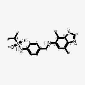 Cc1cc(NCc2ccc(NS(=O)(=O)C(C)C)cc2)c(C)c2scnc12